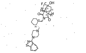 O=C1[C@H]2[C@H]3C[C@@H]([C@H]2C(=O)N1C[C@@H]1CCCC[C@H]1CN1CCN(c2nsc4ccccc24)CC1)[C@](O)(C(F)(F)F)C3